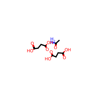 CC(N)=O.O=C(O)CCC(=O)O.O=C(O)CCC(=O)O